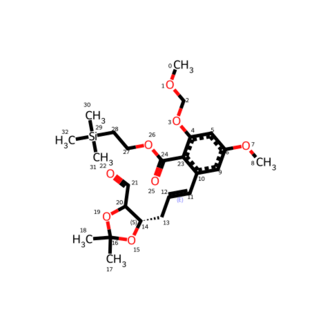 COCOc1cc(OC)cc(/C=C/C[C@@H]2OC(C)(C)OC2C=O)c1C(=O)OCC[Si](C)(C)C